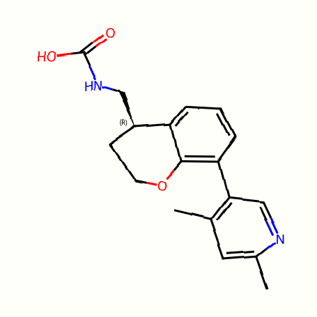 Cc1cc(C)c(-c2cccc3c2OCC[C@H]3CNC(=O)O)cn1